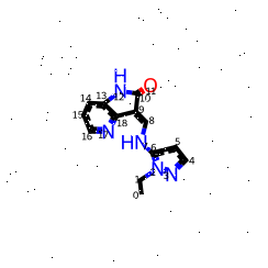 CCn1nccc1N/C=C1/C(=O)Nc2cccnc21